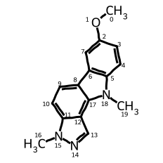 COc1ccc2c(c1)c1ccc3c(cnn3C)c1n2C